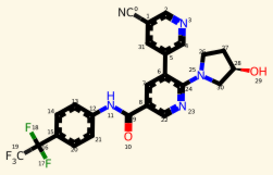 N#Cc1cncc(-c2cc(C(=O)Nc3ccc(C(F)(F)C(F)(F)F)cc3)cnc2N2CC[C@@H](O)C2)c1